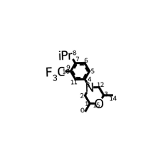 CC1CN(c2ccc(C(C)C)c(C(F)(F)F)c2)CC(C)O1